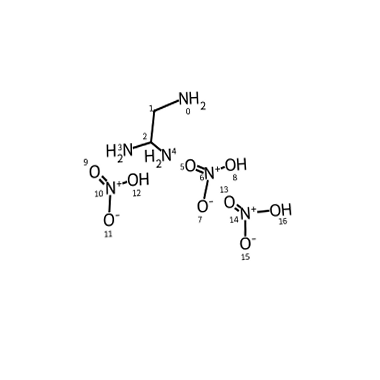 NCC(N)N.O=[N+]([O-])O.O=[N+]([O-])O.O=[N+]([O-])O